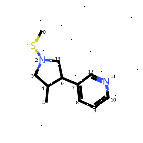 CSN1CC(C)C(c2cccnc2)C1